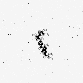 CCC(O)C(C)NC(=N)c1c(O)nsc1Nc1ccc(C(=O)n2c(C)cc3cc(C(=O)N(C)C)ncc32)cn1